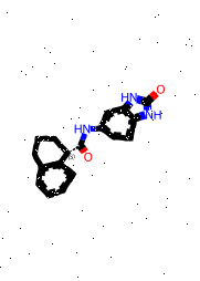 O=C(Nc1ccc2[nH]c(=O)[nH]c2c1)[C@H]1CCCc2ccccc21